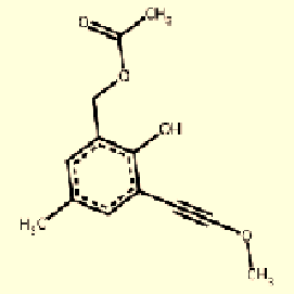 COC#Cc1cc(C)cc(COC(C)=O)c1O